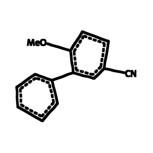 COc1ccc(C#N)cc1-c1ccccc1